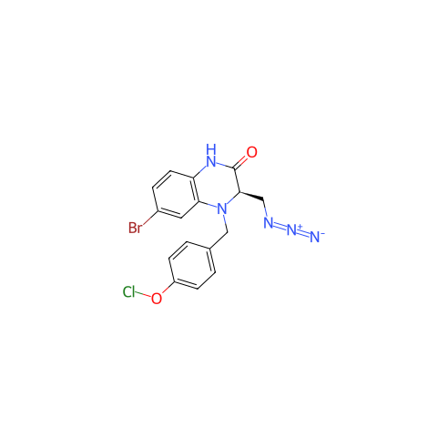 [N-]=[N+]=NC[C@@H]1C(=O)Nc2ccc(Br)cc2N1Cc1ccc(OCl)cc1